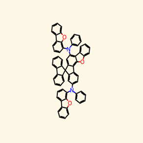 c1ccc(N(c2ccc3c(c2)C2(c4ccccc4-c4ccccc42)c2cc(N(c4ccccc4)c4cccc5c4oc4ccccc45)c4c(oc5ccccc54)c2-3)c2cccc3c2oc2ccccc23)cc1